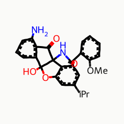 COc1ccccc1C(=O)NC12C(=O)c3c(N)cccc3C1(O)Oc1cc(C(C)C)ccc12